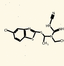 CCN(C(=N)NC#N)C(C)Sc1nc2cc(Cl)ccc2s1